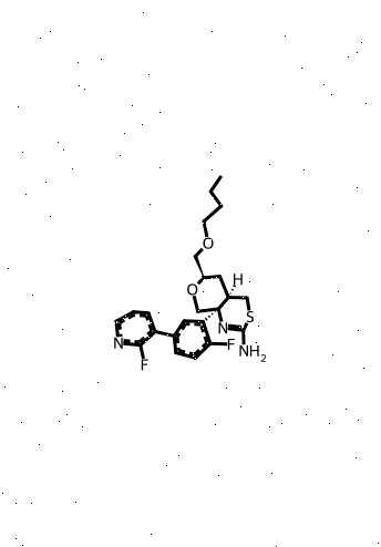 CCCCOC[C@H]1C[C@H]2CSC(N)=N[C@@]2(c2cc(-c3cccnc3F)ccc2F)CO1